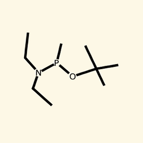 CCN(CC)P(C)OC(C)(C)C